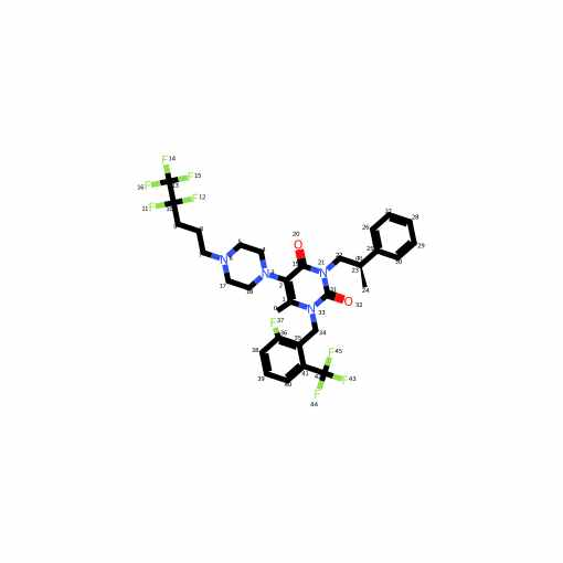 Cc1c(N2CCN(CCCC(F)(F)C(F)(F)F)CC2)c(=O)n(C[C@H](C)c2ccccc2)c(=O)n1Cc1c(F)cccc1C(F)(F)F